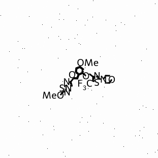 COc1cc(OCc2nc(N3CCOCC3)sc2C(F)(F)F)c2cc(-c3cn4nc(OC)sc4n3)oc2c1